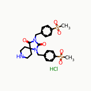 CS(=O)(=O)c1ccc(CN2C(=O)N(Cc3ccc(S(C)(=O)=O)cc3)C3(CCNCC3)C2=O)cc1.Cl